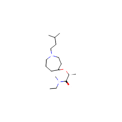 CCN1C[C@@]2(CCCN(CCC(C)C)CC2)O[C@@H](C)C1=O